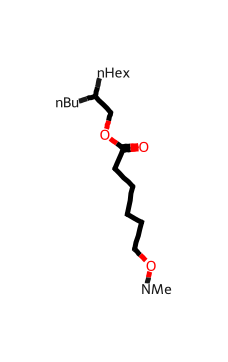 CCCCCCC(CCCC)COC(=O)CCCCCONC